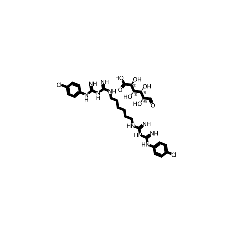 N=C(NCCCCCCNC(=N)NC(=N)Nc1ccc(Cl)cc1)NC(=N)Nc1ccc(Cl)cc1.O=C[C@H](O)[C@@H](O)[C@H](O)[C@H](O)C(=O)O